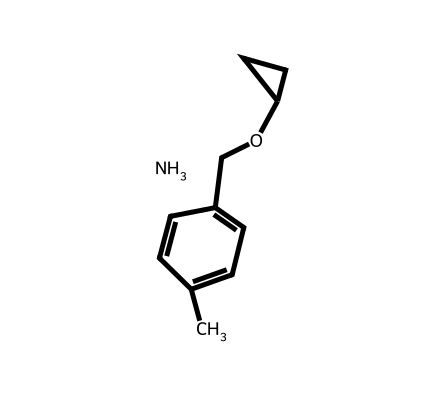 Cc1ccc(COC2CC2)cc1.N